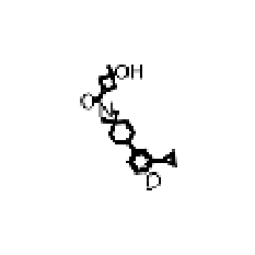 COc1ccc(C2CCC3(CC2)CN(C(=O)C2CC(C)(O)C2)C3)cc1C1CC1